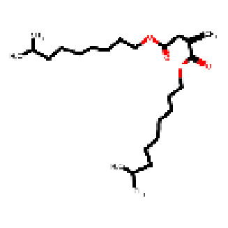 C=C(CC(=O)OCCCCCCCC(C)C)C(=O)OCCCCCCCC(C)C